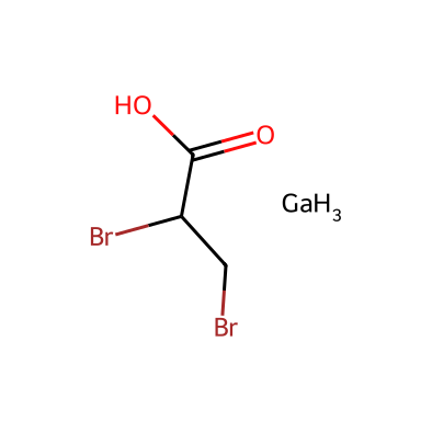 O=C(O)C(Br)CBr.[GaH3]